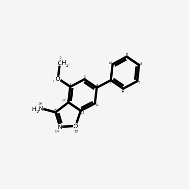 COc1cc(-c2ccccc2)cc2onc(N)c12